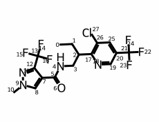 CCC(CNC(=O)c1cn(C)nc1C(F)(F)F)c1ncc(C(F)(F)F)cc1Cl